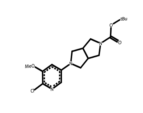 COc1cc(N2CC3CN(C(=O)OC(C)(C)C)CC3C2)cnc1Cl